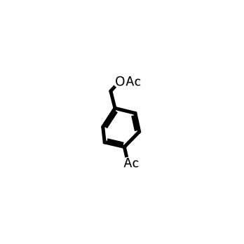 CC(=O)OCc1ccc(C(C)=O)cc1